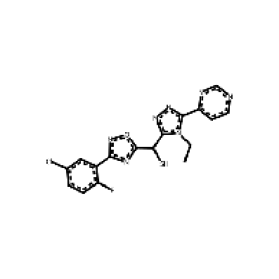 CCn1c(-c2ccncn2)nnc1C(S)c1nc(-c2cc(Cl)ccc2F)no1